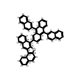 c1ccc2cc(-c3c4ccccc4c(-c4ccc5ccccc5c4)c4cc(-c5c6ccccc6cc6c5oc5ccc7ccccc7c56)ccc34)ccc2c1